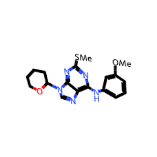 COc1cccc(Nc2nc(SC)nc3c2ncn3C2CCCCO2)c1